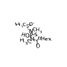 CCCCCCC(=O)N(C)P(O)(=S)N(C)C[S+](C)[O-]